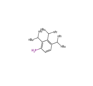 CCCCC(CCC)c1ccc(P)c(C(CCC)CCCC)c1C(CCC)CCCC